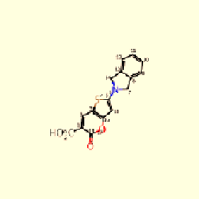 O=C(O)c1cc2sc(N3Cc4ccccc4C3)cc2oc1=O